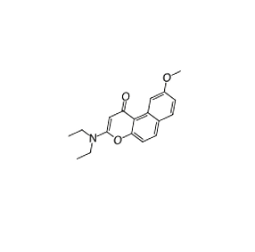 CCN(CC)c1cc(=O)c2c(ccc3ccc(OC)cc32)o1